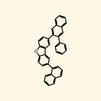 c1ccc(-c2cc3ccccc3cc2-c2ccc3oc4ccc(-c5cccc6ccccc56)cc4c3c2)cc1